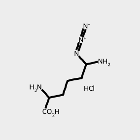 Cl.[N-]=[N+]=NC(N)CCCC(N)C(=O)O